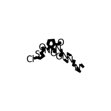 CCN(CC)CCN1CCN(C(=O)CN2C(=O)c3cccc(NC(=O)c4ccc(Cl)s4)c3C2=O)CC1